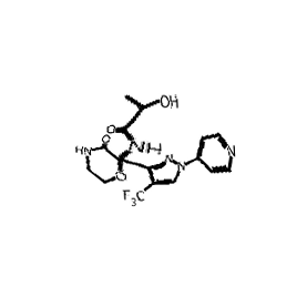 CC(O)C(=O)NC1(c2nn(-c3ccncc3)cc2C(F)(F)F)OCCNC1=O